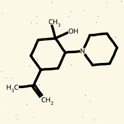 C=C(C)C1CCC(C)(O)C(N2CCCCC2)C1